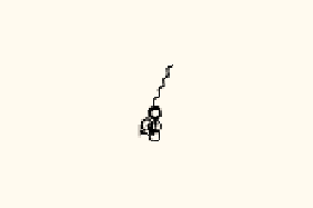 CCCCCCCCc1ccc(OS(=O)(=O)CI)cc1